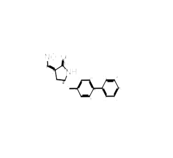 O=NC=C1C[C@@H](Cc2ccc(-c3ccccc3)cc2)NC1=O